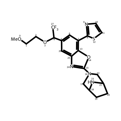 COCCOC(c1cc(-c2nccs2)c2oc(N3CC4CCC(C3)N4)nc2c1)C(F)(F)F